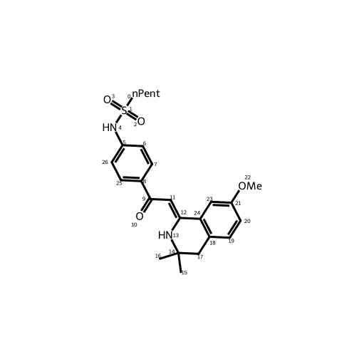 CCCCCS(=O)(=O)Nc1ccc(C(=O)C=C2NC(C)(C)Cc3ccc(OC)cc32)cc1